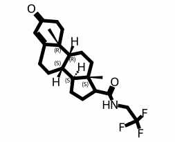 C[C@]12CCC(=O)C=C1CC[C@@H]1[C@H]2CC[C@]2(C)C(C(=O)NCC(F)(F)F)CC[C@@H]12